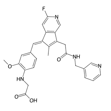 COc1cc(C=C2C(C)=C(CC(=O)NCc3cccnc3)c3cnc(F)cc32)ccc1NCC(=O)O